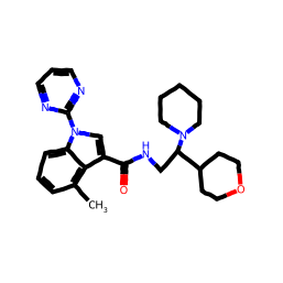 Cc1cccc2c1c(C(=O)NCC(C1CCOCC1)N1CCCCC1)cn2-c1ncccn1